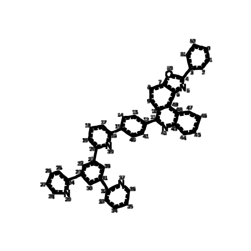 c1ccc(-c2nc3c(ccc4c(-c5ccc(-c6cccc(-c7cc(-c8ccccn8)cc(-c8ccccn8)c7)n6)cc5)nc5ccccc5c43)o2)cc1